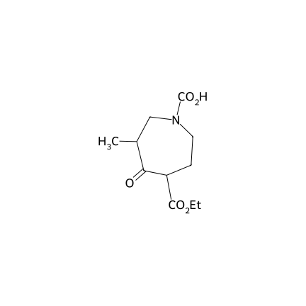 CCOC(=O)C1CCN(C(=O)O)CC(C)C1=O